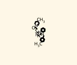 Cc1ccc(Cn2c3ccccc3n3c(SCC(=O)N4CCC(C)CC4)nnc23)cc1